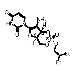 CCC(CC)CO[P@]1(=O)OC[C@H]2OC(n3ccc(=O)[nH]c3=O)=C(N)[C@@H]2O1